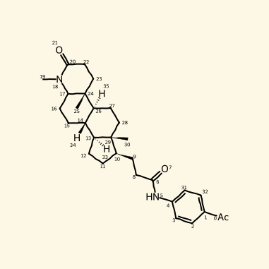 CC(=O)c1ccc(NC(=O)CC[C@H]2CC[C@H]3[C@@H]4CCC5N(C)C(=O)CC[C@]5(C)[C@H]4CC[C@]23C)cc1